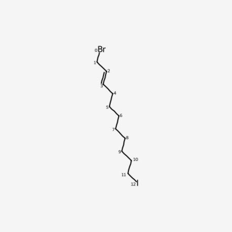 BrCC=CCCCCCCCCI